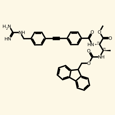 COC(=O)[C@@H](NC(=O)c1ccc(C#Cc2ccc(CNC(=N)N)cc2)cc1)[C@@H](C)NC(=O)OCC1c2ccccc2-c2ccccc21